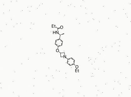 CCOc1ccc(N2CC(Oc3ccc([C@H](C)NC(=O)CC)cc3)C2)cc1